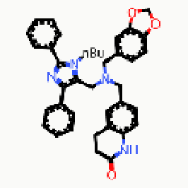 CCCCn1c(-c2ccccc2)nc(-c2ccccc2)c1CN(Cc1ccc2c(c1)CCC(=O)N2)Cc1ccc2c(c1)OCO2